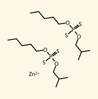 CCCCCOP(=S)([S-])OCC(C)C.CCCCCOP(=S)([S-])OCC(C)C.[Zn+2]